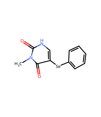 Cn1c(=O)[nH]cc([Se]c2ccccc2)c1=O